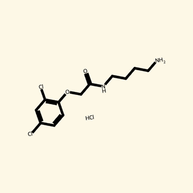 Cl.NCCCCNC(=O)COc1ccc(Cl)cc1Cl